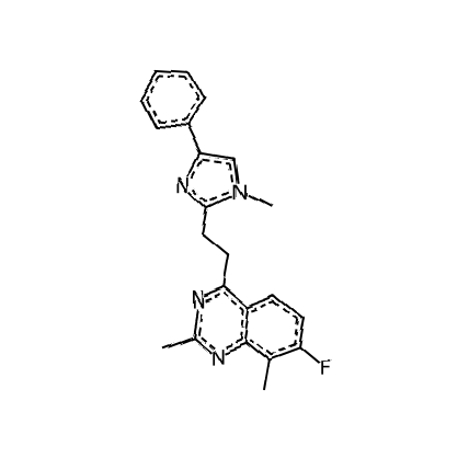 Cc1nc(CCc2nc(-c3ccccc3)cn2C)c2ccc(F)c(C)c2n1